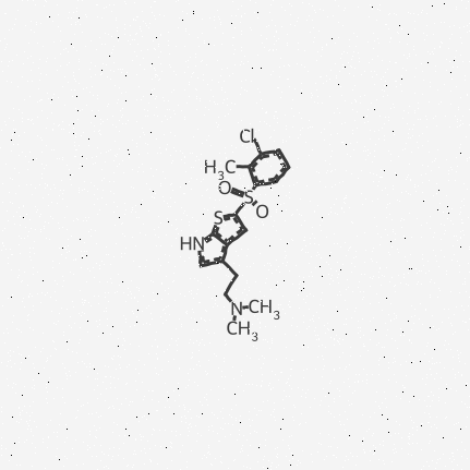 Cc1c(Cl)cccc1S(=O)(=O)c1cc2c(CCN(C)C)c[nH]c2s1